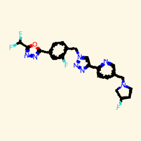 Fc1cc(-c2nnc(C(F)F)o2)ccc1Cn1cc(-c2ccc(CN3CCC(F)C3)cn2)nn1